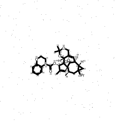 CC1=C[C@]23C(=O)[C@@H](C=C4COC(C)(C)O[C@H]4[C@]2(O)[C@H]1OC(=O)N1CCOc2ccccc21)[C@@H]1CC1(C(C)C)C[C@H]3C